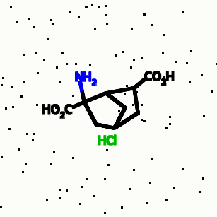 Cl.NC1(C(=O)O)CC2CC(C(=O)O)C1C2